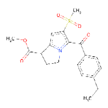 CCc1ccc(C(=O)c2c(S(C)(=O)=O)cc3n2CCC3C(=O)OC)cc1